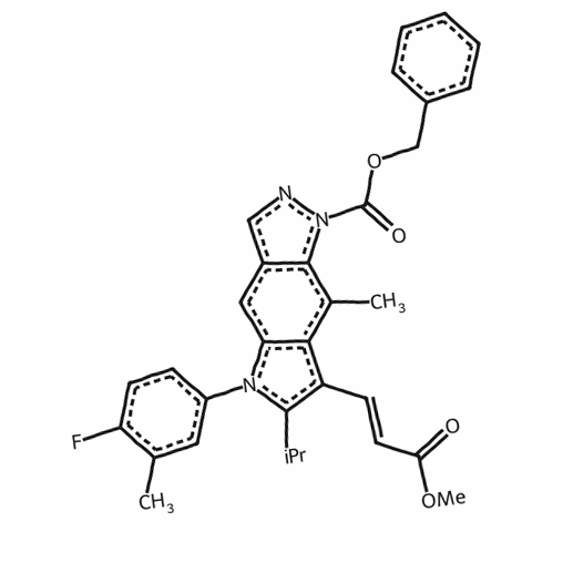 COC(=O)/C=C/c1c(C(C)C)n(-c2ccc(F)c(C)c2)c2cc3cnn(C(=O)OCc4ccccc4)c3c(C)c12